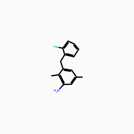 Cc1cc(N)c(C)c(Cc2ccccc2F)c1